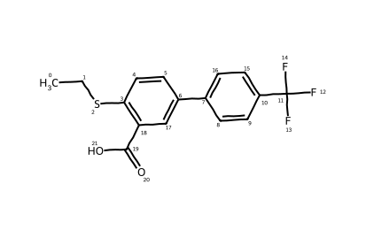 CCSc1ccc(-c2ccc(C(F)(F)F)cc2)cc1C(=O)O